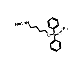 CC(C)(C)O[Si](OCCCCN=[N+]=[N-])(c1ccccc1)c1ccccc1